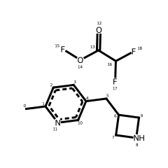 Cc1ccc(CC2CNC2)cn1.O=C(OF)C(F)F